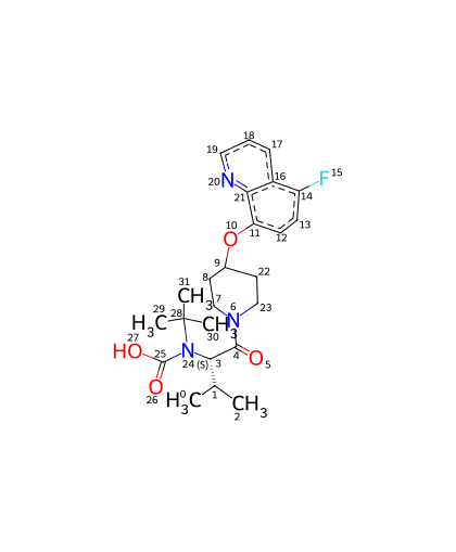 CC(C)[C@@H](C(=O)N1CCC(Oc2ccc(F)c3cccnc23)CC1)N(C(=O)O)C(C)(C)C